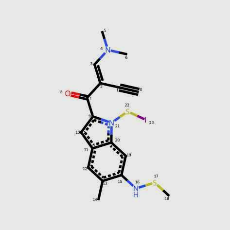 C#C/C(=C\N(C)C)C(=O)c1cc2cc(C)c(NSC)cc2n1SI